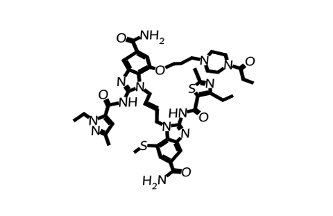 CCC(=O)N1CCN(CCCOc2cc(C(N)=O)cc3nc(NC(=O)c4cc(C)nn4CC)n(C/C=C/Cn4c(NC(=O)c5sc(C)nc5CC)nc5cc(C(N)=O)cc(SC)c54)c23)CC1